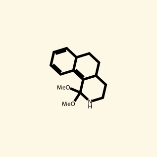 COC1(OC)NCCC2CCC3C=CC=CC3=C21